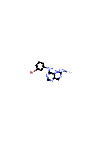 CC(C)(C)Nc1ncc2ncnc(Nc3cccc(Br)c3)c2n1